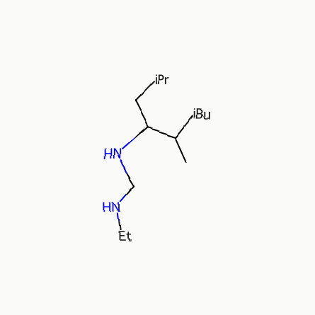 CCNCNC(CC(C)C)C(C)C(C)CC